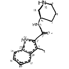 Cc1c(C(=O)NC2CCCNC2)[nH]c2ccccc12